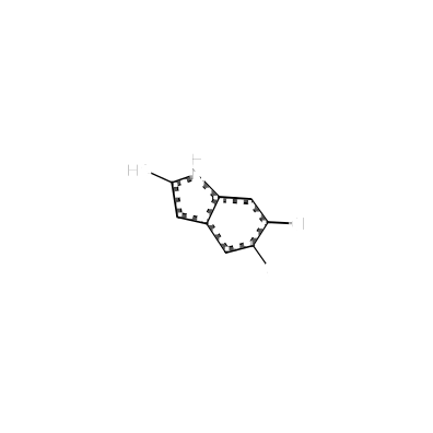 Sc1cc2cc(Cl)c(Cl)cc2[nH]1